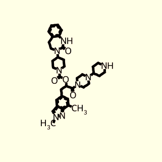 Cc1cc(CC(OC(=O)N2CCC(N3CCc4ccccc4NC3=O)CC2)C(=O)N2CCN(C3CCNCC3)CC2)cc2cn(C)nc12